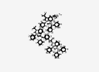 CC(C)CC[P+](CCP(c1ccccc1)c1ccccc1)(c1ccccc1)c1ccccc1.CC(C)CC[P+](CCP(c1ccccc1)c1ccccc1)(c1ccccc1)c1ccccc1.CC(C)CC[P+](CCP(c1ccccc1)c1ccccc1)(c1ccccc1)c1ccccc1.[C]=O.[Rh+2]